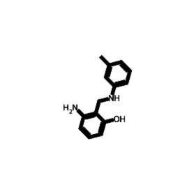 Cc1cccc(NCc2c(N)cccc2O)c1